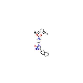 CC(C)(C)OC(=O)N1CCC(n2cc(-c3ccc4ccccc4c3)[nH]c2=O)CC1